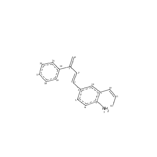 C=C(/C=C/c1ccc(N)c(/C=C\C)c1)c1ccccc1